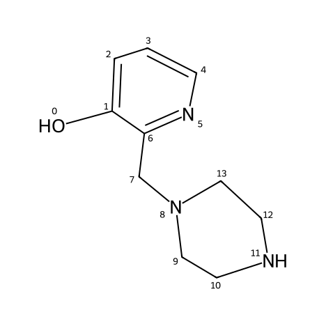 Oc1cccnc1CN1CCNCC1